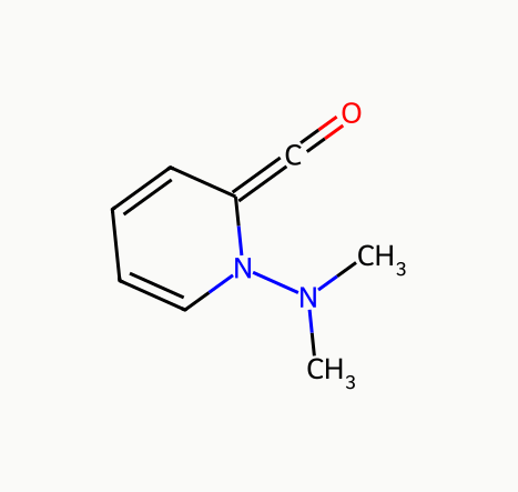 CN(C)N1C=CC=CC1=C=O